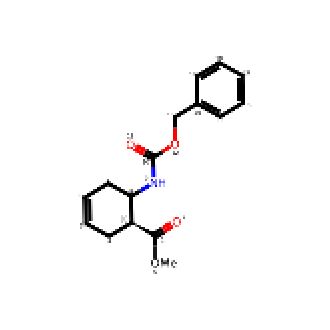 COC(=O)[C@H]1CC=CCC1NC(=O)OCc1ccccc1